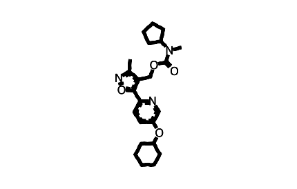 Cc1noc(-c2ccc(OC3CCCCC3)cn2)c1COC(=O)N(C)C1CCCC1